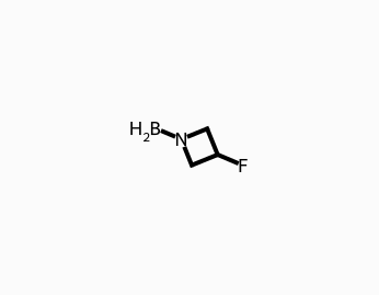 BN1CC(F)C1